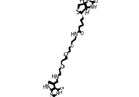 Nc1nc2[nH]cc(CNCCOCCOCCOCCNC(=O)CCCC[C@@H]3SC[C@@H]4NC(=O)N[C@@H]43)c2c(=O)[nH]1